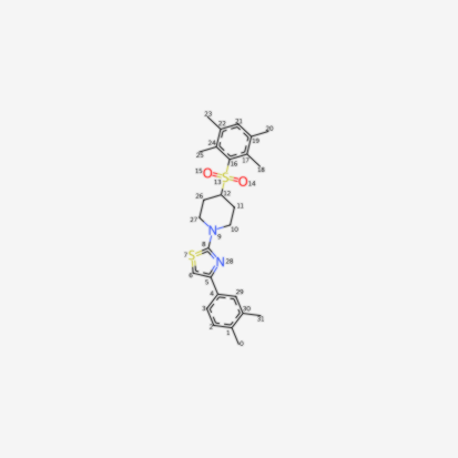 Cc1ccc(-c2csc(N3CCC(S(=O)(=O)c4c(C)c(C)cc(C)c4C)CC3)n2)cc1C